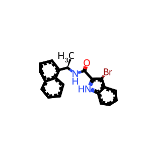 C[C@@H](NC(=O)c1[nH]c2ccccc2c1Br)c1cccc2ccccc12